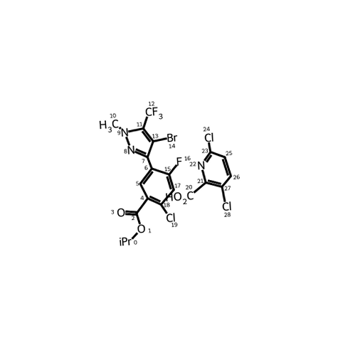 CC(C)OC(=O)c1cc(-c2nn(C)c(C(F)(F)F)c2Br)c(F)cc1Cl.O=C(O)c1nc(Cl)ccc1Cl